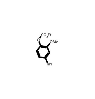 CCCc1ccc(OC(=O)OCC)c(OC)c1